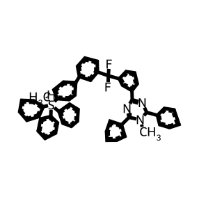 CN1C(c2ccccc2)=NC(c2cccc(C(F)(F)c3cccc(-c4ccc([SH](C)(c5ccccc5)(c5ccccc5)c5ccccc5)cc4)c3)c2)=NC1c1ccccc1